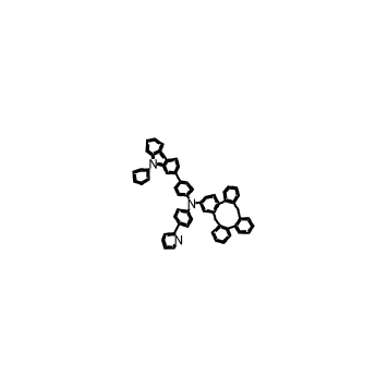 c1ccc(-n2c3ccccc3c3ccc(-c4ccc(N(c5ccc(-c6ccccn6)cc5)c5ccc6c(c5)Cc5ccccc5-c5ccccc5Cc5ccccc5-6)cc4)cc32)cc1